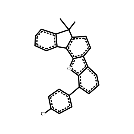 CC1(C)c2ccccc2-c2c1ccc1c2oc2c(-c3ccc(Cl)cc3)cccc21